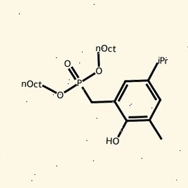 CCCCCCCCOP(=O)(Cc1cc(C(C)C)cc(C)c1O)OCCCCCCCC